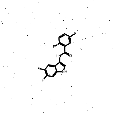 O=C(Nc1c[nH]c2cc(F)c(F)cc12)c1cc(F)ccc1F